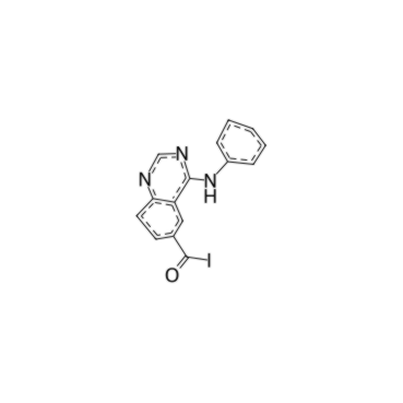 O=C(I)c1ccc2ncnc(Nc3ccccc3)c2c1